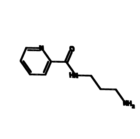 NCCCNC(=O)c1ccccn1